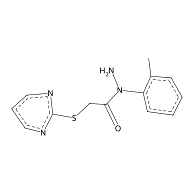 Cc1ccccc1N(N)C(=O)CSc1ncccn1